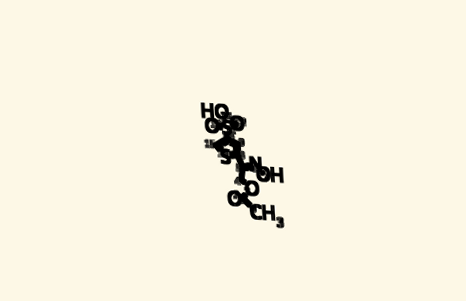 CC(=O)OCC(=NO)c1cc(S(=O)(=O)O)cs1